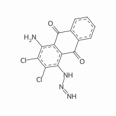 N=NNc1c(Cl)c(Cl)c(N)c2c1C(=O)c1ccccc1C2=O